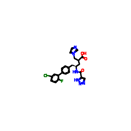 O=C(N[C@H](Cc1ccc(-c2cc(Cl)ccc2F)cc1)CC(Cn1ccnc1)C(=O)O)c1cnn[nH]1